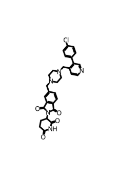 O=C1CCC(N2C(=O)c3ccc(CN4CCN(Cc5ccncc5-c5ccc(Cl)cc5)CC4)cc3C2=O)C(=O)N1